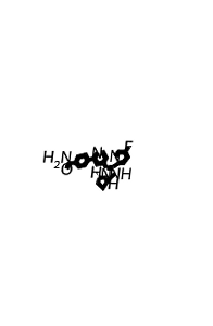 NC(=O)c1ccc(-c2cc(C3=C(c4ccc(F)cn4)NC4[C@H]5CC[C@H](C5)N34)ccn2)cc1